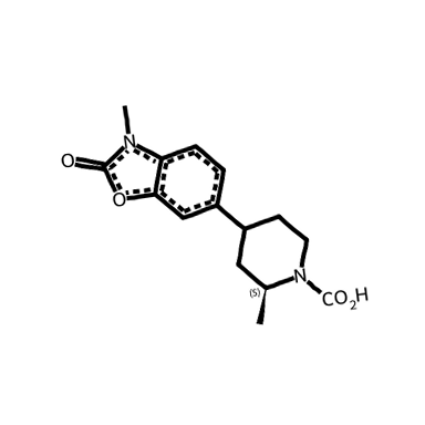 C[C@H]1CC(c2ccc3c(c2)oc(=O)n3C)CCN1C(=O)O